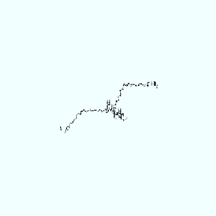 CCCCCCCC/C=C\CCCCCCCCOC(C)(C[N+](C)(C)C)OCCCCCCCC/C=C\CCCCCCCC